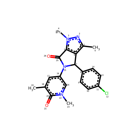 Cc1nn(C(C)C)c2c1C(c1ccc(Cl)cc1)N(c1cc(C)c(=O)n(C)c1)C2=O